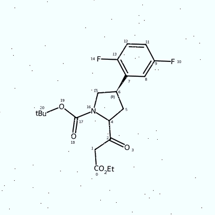 CCOC(=O)CC(=O)C1C[C@H](c2cc(F)ccc2F)CN1C(=O)OC(C)(C)C